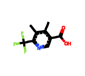 Cc1c(C(=O)O)cnc(C(F)(F)F)c1C